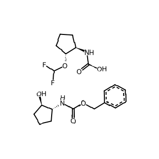 O=C(N[C@@H]1CCC[C@H]1O)OCc1ccccc1.O=C(O)N[C@@H]1CCC[C@H]1OC(F)F